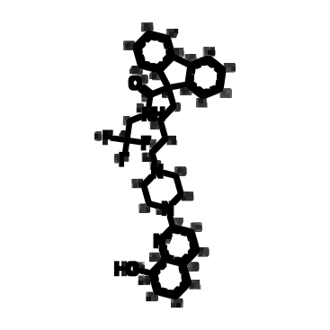 O=C(NCC(F)(F)F)C1(CCCCN2CCN(c3ccc4cccc(O)c4n3)CC2)c2ccccc2-c2ccccc21